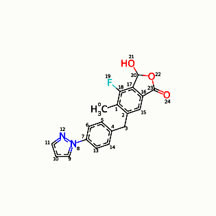 Cc1c(Cc2ccc(-n3cccn3)cc2)cc2c(c1F)C(O)OC2=O